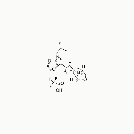 CN1[C@@H]2COC[C@H]1CC(NC(=O)c1cn(CC(F)F)c3ncccc13)C2.O=C(O)C(F)(F)F